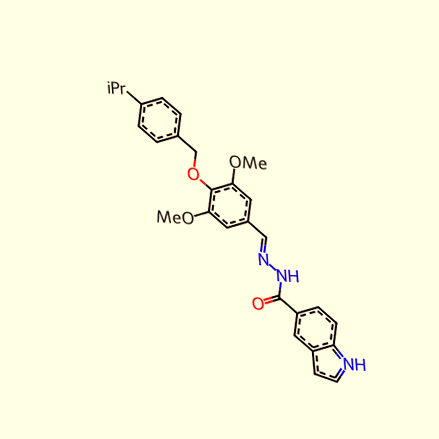 COc1cc(/C=N/NC(=O)c2ccc3[nH]ccc3c2)cc(OC)c1OCc1ccc(C(C)C)cc1